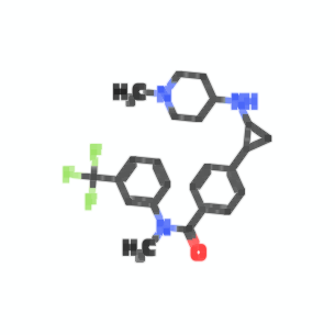 CN1CCC(NC2CC2c2ccc(C(=O)N(C)c3cccc(C(F)(F)F)c3)cc2)CC1